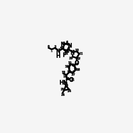 CCCNc1ncnc(N2CC[C@@H](Oc3ccc(C(C)C(=O)NC4CC4C)cc3)C2)c1F